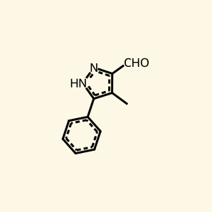 Cc1c(C=O)n[nH]c1-c1ccccc1